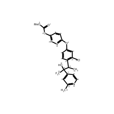 COC(=O)Oc1ccc(Oc2ccc(C(C)C(O)(c3ccnc(C)c3)C(F)(F)F)c(Cl)c2)nn1